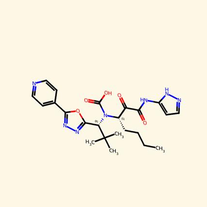 CCCC[C@@H](C(=O)C(=O)Nc1ccn[nH]1)N(C(=O)O)[C@@H](c1nnc(-c2ccncc2)o1)C(C)(C)C